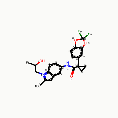 CCC(O)Cn1c(C(C)(C)C)cc2cc(NC(=O)C3(c4ccc5c(c4)OC(F)(F)O5)CC3)ccc21